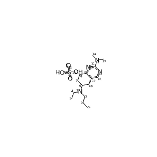 CCCN(CC)C1CCc2nc(N(C)C)ncc2C1.O=S(=O)(O)O